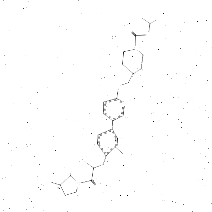 CC(C)OC(=O)N1CCC(COc2ccc(-c3ccc(CC(N)C(=O)N4CCC(F)C4)c(F)c3)cn2)CC1